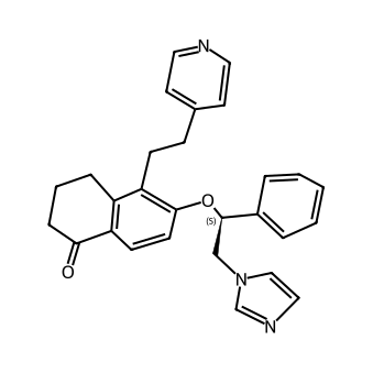 O=C1CCCc2c1ccc(O[C@H](Cn1ccnc1)c1ccccc1)c2CCc1ccncc1